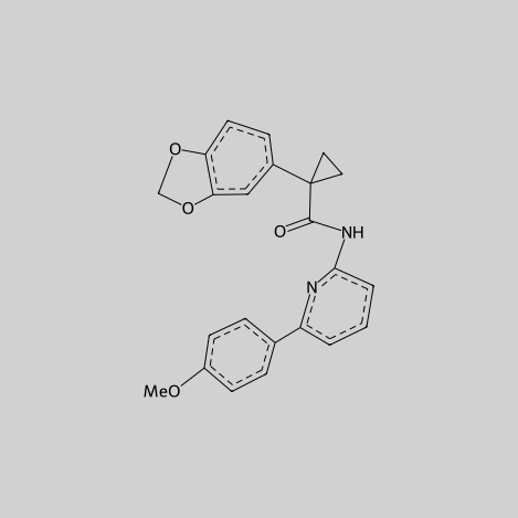 COc1ccc(-c2cccc(NC(=O)C3(c4ccc5c(c4)OCO5)CC3)n2)cc1